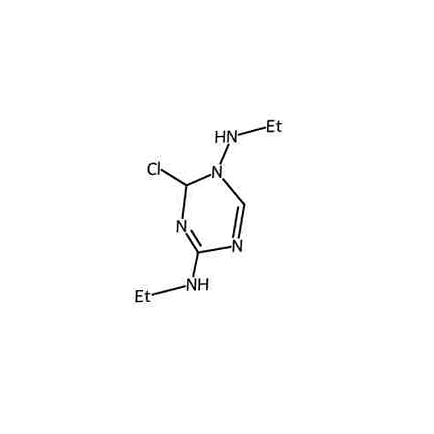 CCNC1=NC(Cl)N(NCC)C=N1